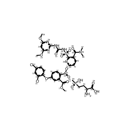 COC(=O)c1cc(Oc2ccc(Cl)cc2Cl)ccc1[N+](=O)[O-].COc1cc(OC)nc(NC(=O)NS(=O)(=O)c2ncccc2C(=O)N(C)C)n1.CP(=O)(O)CCC(N)C(=O)O